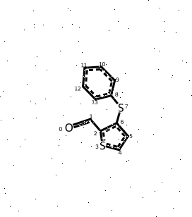 O=Cc1sccc1Sc1ccccc1